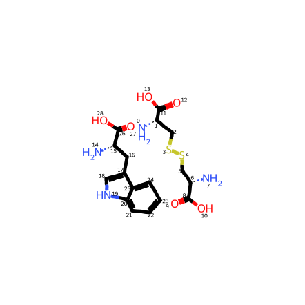 N[C@@H](CSSC[C@H](N)C(=O)O)C(=O)O.N[C@@H](Cc1c[nH]c2ccccc12)C(=O)O